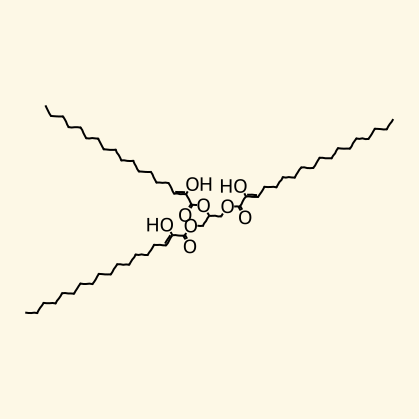 CCCCCCCCCCCCCCCC=C(O)C(=O)OCC(COC(=O)C(O)=CCCCCCCCCCCCCCCC)OC(=O)C(O)=CCCCCCCCCCCCCCCC